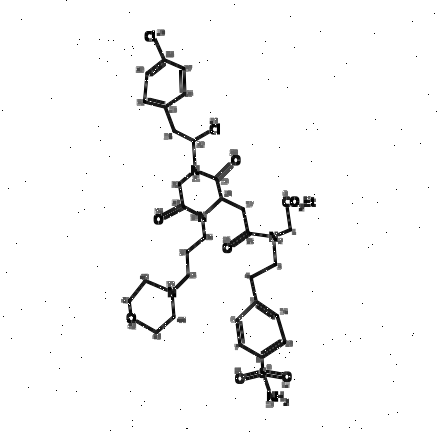 CCOC(=O)CN(CCc1ccc(S(N)(=O)=O)cc1)C(=O)CC1C(=O)N(C(Cl)Cc2ccc(Cl)cc2)CC(=O)N1CCCN1CCOCC1